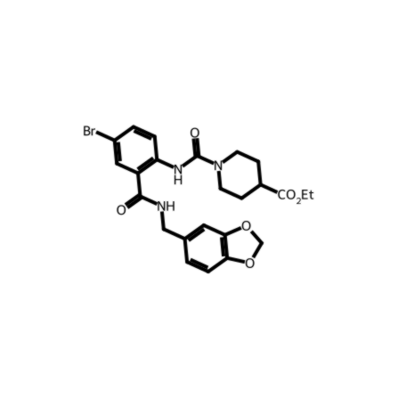 CCOC(=O)C1CCN(C(=O)Nc2ccc(Br)cc2C(=O)NCc2ccc3c(c2)OCO3)CC1